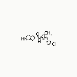 Cc1cc(NC(=O)c2ccc3c(c2)CCNC3)nn1Cc1cccc(Cl)c1